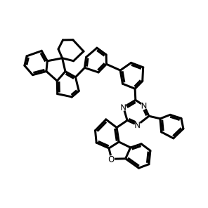 c1ccc(-c2nc(-c3cccc(-c4cccc(-c5cccc6c5C5(CCCCC5)c5ccccc5-6)c4)c3)nc(-c3cccc4oc5ccccc5c34)n2)cc1